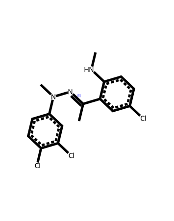 CNc1ccc(Cl)cc1/C(C)=N/N(C)c1ccc(Cl)c(Cl)c1